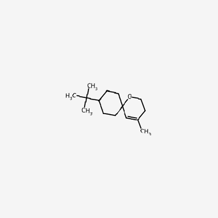 CC1=CC2(CCC(C(C)(C)C)CC2)OCC1